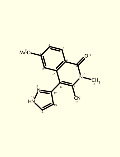 COc1ccc2c(=O)n(C)c(C#N)c(-c3cc[nH]n3)c2c1